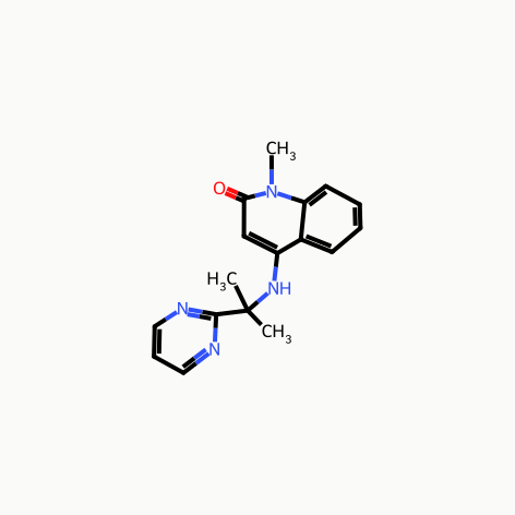 Cn1c(=O)cc(NC(C)(C)c2ncccn2)c2ccccc21